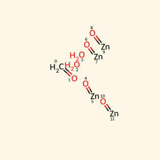 C=O.O.O.[O]=[Zn].[O]=[Zn].[O]=[Zn].[O]=[Zn]